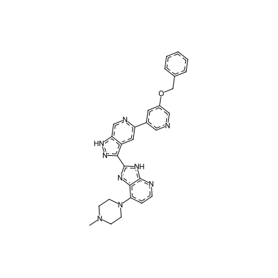 CN1CCN(c2ccnc3[nH]c(-c4n[nH]c5cnc(-c6cncc(OCc7ccccc7)c6)cc45)nc23)CC1